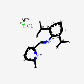 Cc1cccc(C=Nc2c(C(C)C)cccc2C(C)C)n1.[Cl-].[Cl-].[Ni+2]